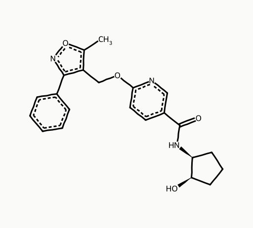 Cc1onc(-c2ccccc2)c1COc1ccc(C(=O)N[C@H]2CCC[C@H]2O)cn1